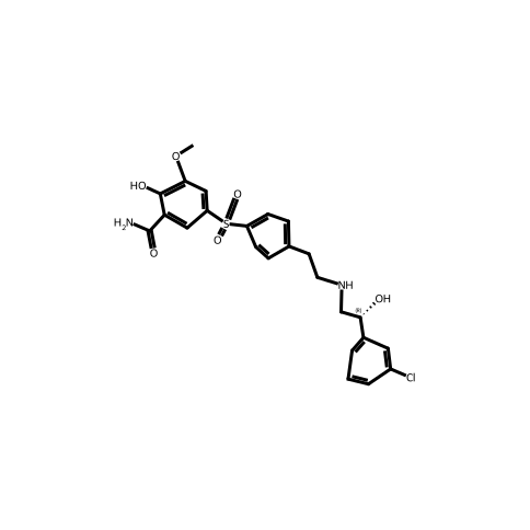 COc1cc(S(=O)(=O)c2ccc(CCNC[C@H](O)c3cccc(Cl)c3)cc2)cc(C(N)=O)c1O